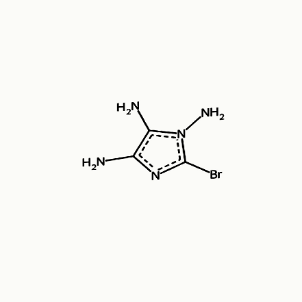 Nc1nc(Br)n(N)c1N